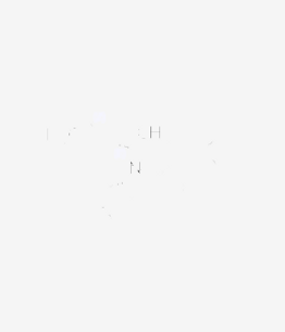 C/C=C\C=C(/C)n1c2ccccc2c2ccc(-c3ccccc3)cc21